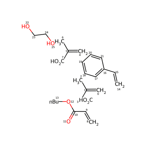 C=C(C)C(=O)O.C=C(C)C(=O)O.C=CC(=O)OCCCC.C=Cc1ccccc1.OCCO